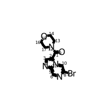 O=C(c1cnc2cnc(Br)cn12)N1CCOCC1